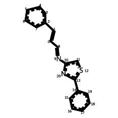 C(=Cc1ccccc1)C=Nc1csc(-c2ccccc2)n1